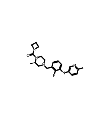 Cc1ccc([N]c2cccc(CN3CCN(C(=O)N4CCC4)[C@H](C)C3)c2F)cn1